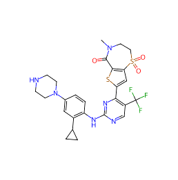 CN1CCS(=O)(=O)c2cc(-c3nc(Nc4ccc(N5CCNCC5)cc4C4CC4)ncc3C(F)(F)F)sc2C1=O